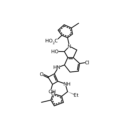 CC[C@@H](NC1=C(NC2CC=C(Cl)C3=C2C(O)N(c2cc(C)ccc2C(=O)O)C3)C(=O)C1O)c1ccc(C)o1